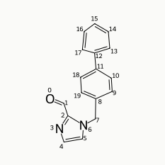 O=Cc1nccn1Cc1ccc(-c2ccccc2)cc1